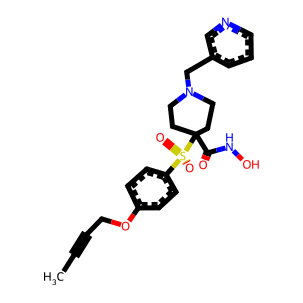 CC#CCOc1ccc(S(=O)(=O)C2(C(=O)NO)CCN(Cc3cccnc3)CC2)cc1